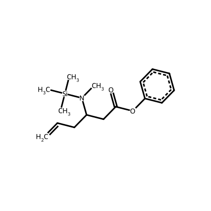 C=CCC(CC(=O)Oc1ccccc1)N(C)[Si](C)(C)C